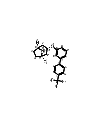 FC(F)(F)c1ccc(-c2cccc(O[C@@H]3C[C@H]4CC[C@@H](C3)N4)c2)cc1